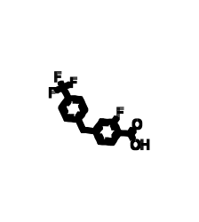 O=C(O)c1ccc(Cc2ccc(C(F)(F)F)cc2)cc1F